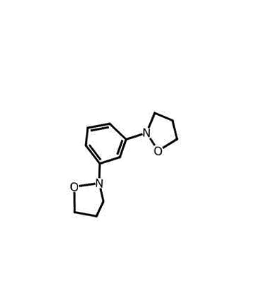 c1cc(N2CCCO2)cc(N2CCCO2)c1